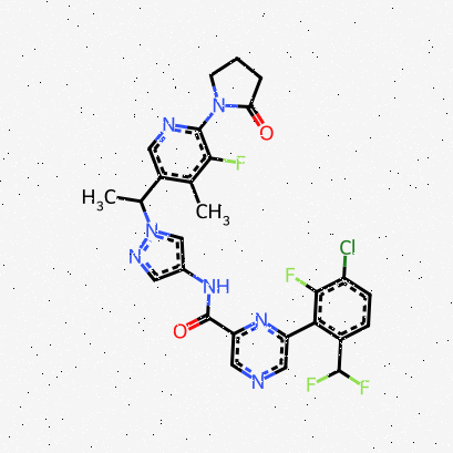 Cc1c(C(C)n2cc(NC(=O)c3cncc(-c4c(C(F)F)ccc(Cl)c4F)n3)cn2)cnc(N2CCCC2=O)c1F